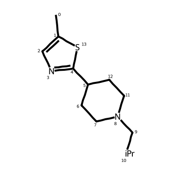 Cc1cnc(C2CCN(CC(C)C)CC2)s1